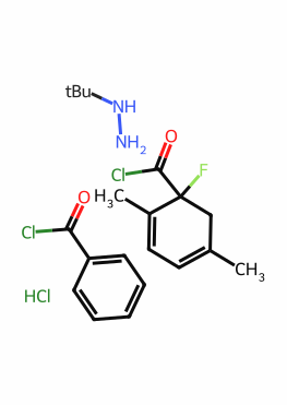 CC(C)(C)NN.CC1=CC=C(C)C(F)(C(=O)Cl)C1.Cl.O=C(Cl)c1ccccc1